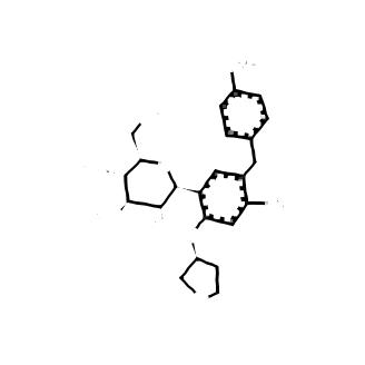 COc1ccc(Cc2cc([C@@H]3O[C@H](COC(C)=O)[C@@H](OC(C)=O)[C@H](OC(C)=O)[C@H]3OC(C)=O)c(O[C@H]3CCOC3)cc2C#N)cc1